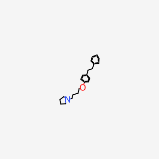 c1ccc(CCc2ccc(OCCCCN3CCCC3)cc2)cc1